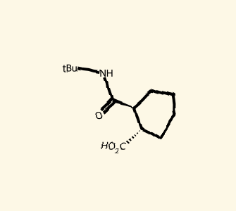 CC(C)(C)NC(=O)[C@H]1CCCC[C@@H]1C(=O)O